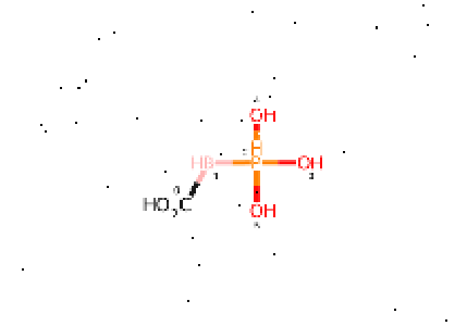 O=C(O)B[PH](O)(O)O